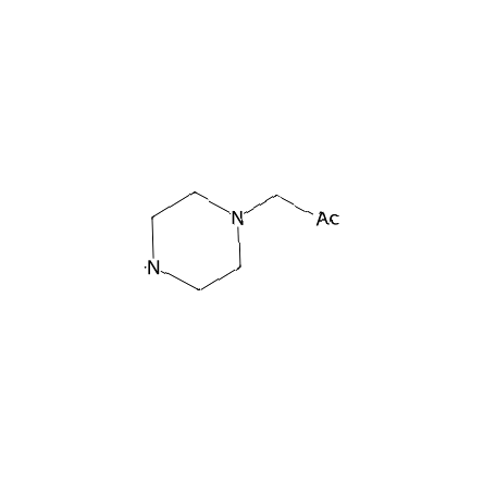 CC(=O)CN1CC[N]CC1